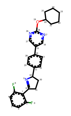 Fc1cccc(F)c1C1=NC(c2ccc(-c3cnc(OC4CCCCC4)nc3)cc2)CC1